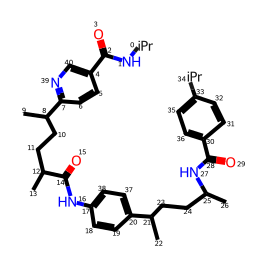 CC(C)NC(=O)c1ccc(C(C)CCC(C)C(=O)Nc2ccc(C(C)CCC(C)NC(=O)c3ccc(C(C)C)cc3)cc2)nc1